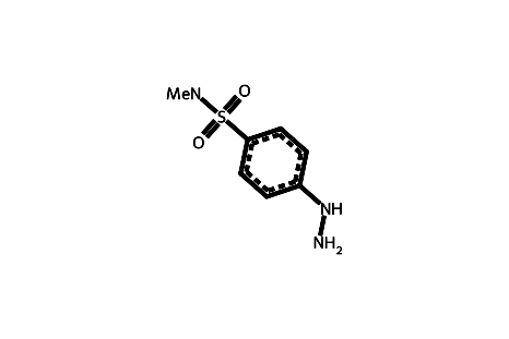 CNS(=O)(=O)c1ccc(NN)cc1